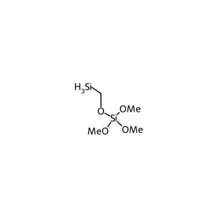 CO[Si](OC)(OC)OC[SiH3]